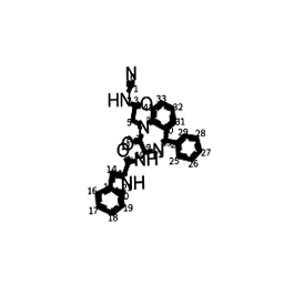 N#CNC(=O)CN1C(=O)[C@@H](NC(=O)c2cc3ccccc3[nH]2)N=C(c2ccccc2)c2ccccc21